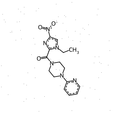 CCn1cc([N+](=O)[O-])nc1C(=O)N1CCN(c2ccccn2)CC1